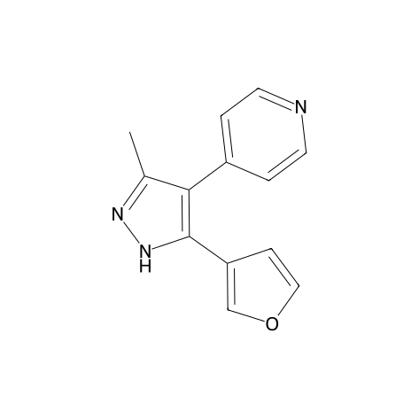 Cc1n[nH]c(-c2ccoc2)c1-c1ccncc1